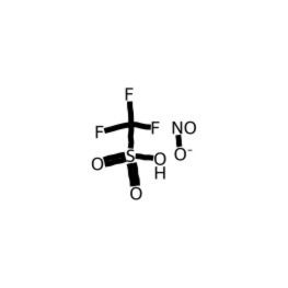 O=S(=O)(O)C(F)(F)F.O=[NH+][O-]